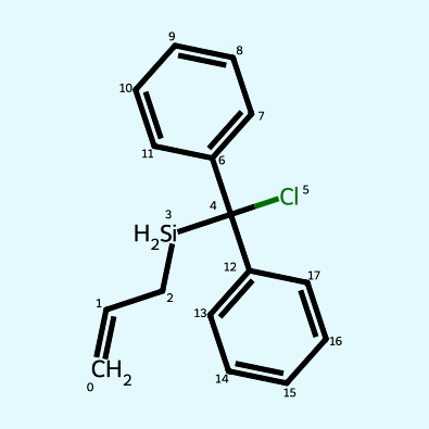 C=CC[SiH2]C(Cl)(c1ccccc1)c1ccccc1